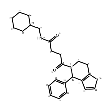 O=C(CCC(=O)N1CCc2sccc2C1c1ccccc1)NCC1CCCCC1